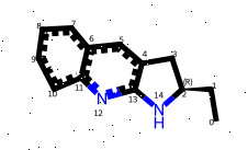 CC[C@@H]1Cc2cc3cc[c]cc3nc2N1